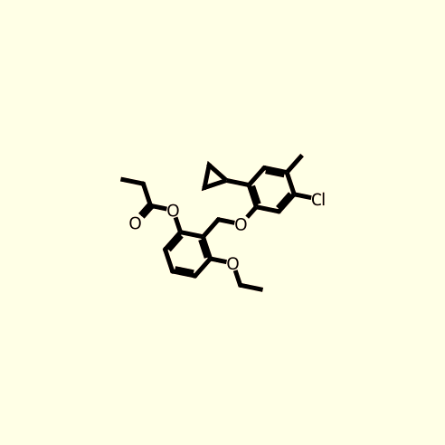 CCOc1cccc(OC(=O)CC)c1COc1cc(Cl)c(C)cc1C1CC1